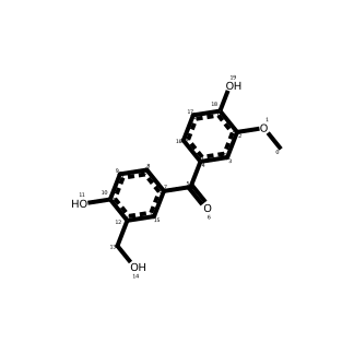 COc1cc(C(=O)c2ccc(O)c(CO)c2)ccc1O